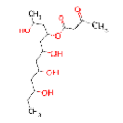 CCC(O)CC(O)CC(O)CC(CC(C)O)OC(=O)CC(C)=O